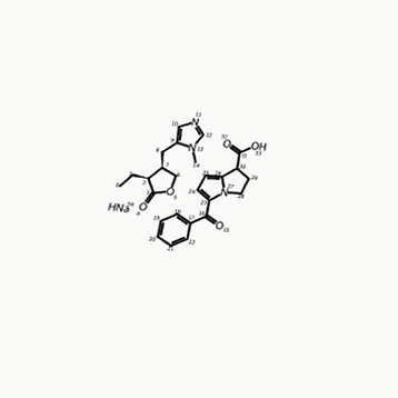 CC[C@@H]1C(=O)OC[C@@H]1Cc1cncn1C.O=C(c1ccccc1)c1ccc2n1CCC2C(=O)O.[NaH]